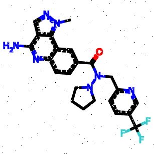 Cn1ncc2c(N)nc3ccc(C(=O)N(Cc4ccc(C(F)(F)F)cn4)N4CCCC4)cc3c21